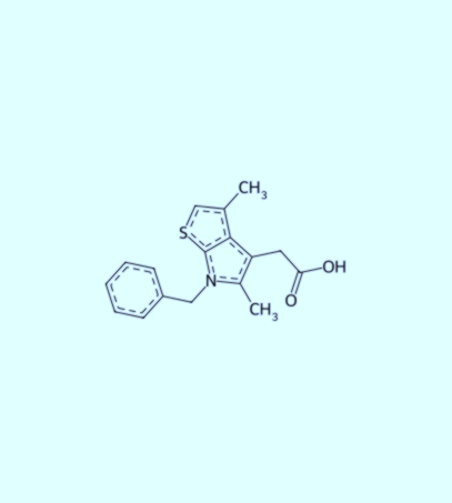 Cc1csc2c1c(CC(=O)O)c(C)n2Cc1ccccc1